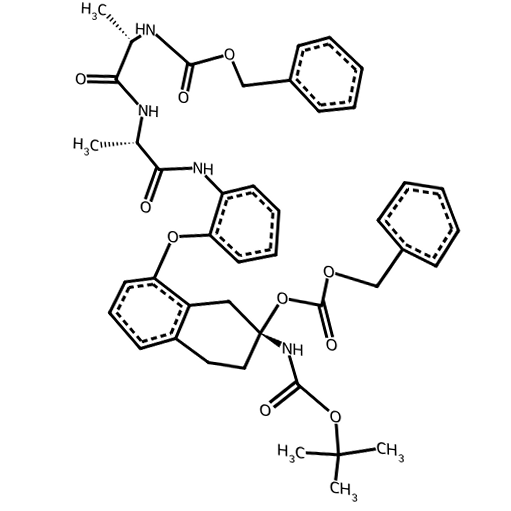 C[C@H](NC(=O)OCc1ccccc1)C(=O)N[C@@H](C)C(=O)Nc1ccccc1Oc1cccc2c1C[C@](NC(=O)OC(C)(C)C)(OC(=O)OCc1ccccc1)CC2